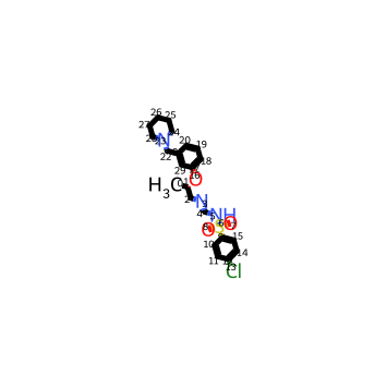 CC(CN=CNS(=O)(=O)c1ccc(Cl)cc1)Oc1cccc(CN2CCCCC2)c1